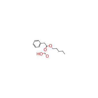 CCCCCOC(=O)Cc1ccccc1.O=CO